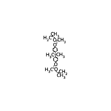 C=C(C)COC(C)COc1ccc(C(C)(C)c2ccc(OCC(C)OCC(=C)C)cc2)cc1